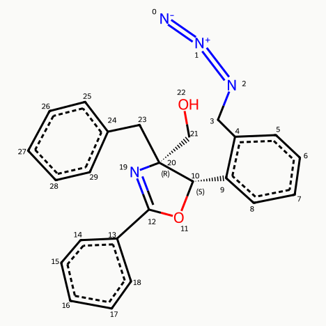 [N-]=[N+]=NCc1ccccc1[C@@H]1OC(c2ccccc2)=N[C@@]1(CO)Cc1ccccc1